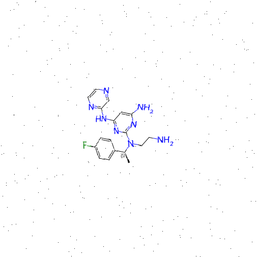 C[C@@H](c1ccc(F)cc1)N(CCN)c1nc(N)cc(Nc2cnccn2)n1